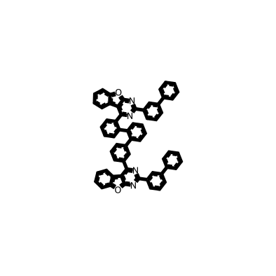 c1ccc(-c2cccc(-c3nc(-c4cccc(-c5ccccc5-c5ccccc5-c5nc(-c6cccc(-c7ccccc7)c6)nc6oc7ccccc7c56)c4)c4c(n3)oc3ccccc34)c2)cc1